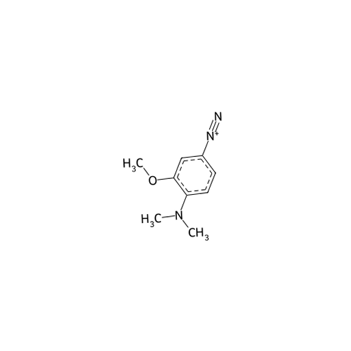 COc1cc([N+]#N)ccc1N(C)C